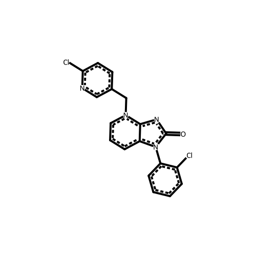 O=c1nc2n(Cc3ccc(Cl)nc3)cccc-2n1-c1ccccc1Cl